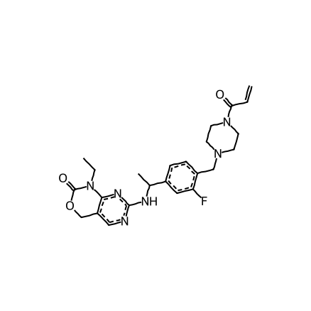 C=CC(=O)N1CCN(Cc2ccc(C(C)Nc3ncc4c(n3)N(CC)C(=O)OC4)cc2F)CC1